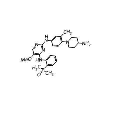 COc1cnc(Nc2ccc(N3CCC(N)CC3)c(C)c2)nc1Nc1ccccc1P(C)(C)=O